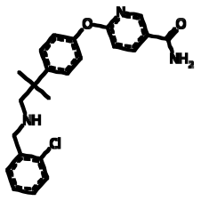 CC(C)(CNCc1ccccc1Cl)c1ccc(Oc2ccc(C(N)=O)cn2)cc1